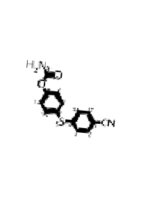 N#Cc1ccc(Sc2ccc(OC(N)=O)cc2)cc1